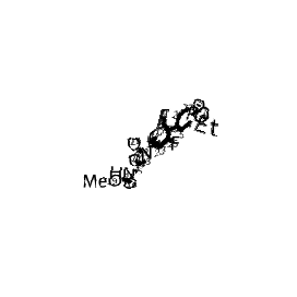 CCOP1(=O)CCC(c2c(F)cc(N3C[C@H](CNC(=O)OC)OC3=O)cc2F)CC1